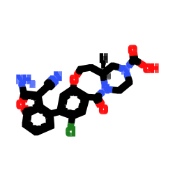 N#Cc1c(N)oc2cccc(-c3cc4c(cc3Cl)C(=O)N3CCN(C(=O)O)C[C@@H]3CCO4)c12